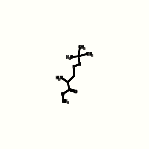 COC(=O)C(N)CSSC(C)(C)C